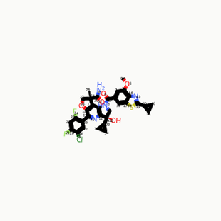 COc1cc(C(=O)NC[C@](O)(c2cc3c(c(-c4cc(Cl)c(F)cc4F)n2)OC[C@]3(C)C(N)=O)C2CC2)cc2sc(C3CC3)nc12